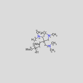 CC[Si](CCC(CN(C)C)(CN(C)C)CN(C)C)(OC)OC